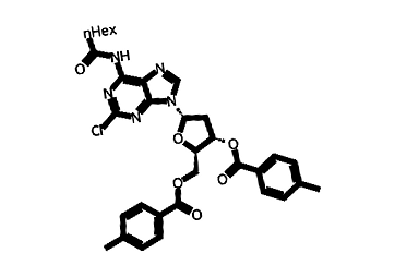 CCCCCCC(=O)Nc1nc(Cl)nc2c1ncn2[C@@H]1C[C@H](OC(=O)c2ccc(C)cc2)[C@@H](COC(=O)c2ccc(C)cc2)O1